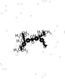 C=C(C)C(=O)OCC(C)N(c1ccc(OCC2CO2)cc1)c1ccc(C2=C([O-])C(=C3C=CC(=[N+](c4ccc(OC(=O)C(=C)C)cc4)C(C)COC(=O)C(=C)C)C=C3)C2=O)cc1